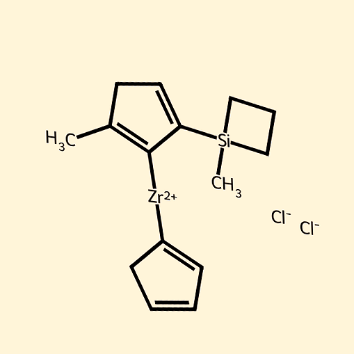 CC1=[C]([Zr+2][C]2=CC=CC2)C([Si]2(C)CCC2)=CC1.[Cl-].[Cl-]